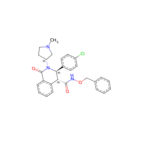 CN1CC[C@@H](N2C(=O)c3ccccc3[C@@H](C(=O)NOCc3ccccc3)[C@@H]2c2ccc(Cl)cc2)C1